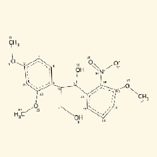 COc1ccc(C(CO)C(O)c2cccc(OC)c2[N+](=O)[O-])c(OC)c1